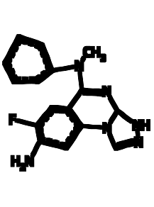 CN(C1=NC2NN=CN2c2cc(N)c(F)cc21)c1ccccc1